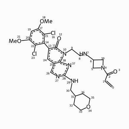 C=CC(=O)N1CC(NCCn2c(=O)c(-c3c(Cl)c(OC)cc(OC)c3Cl)cc3cnc(NCC4CCOCC4)nc32)C1